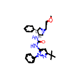 COCCN1C[C@H](NC(=O)Nc2cc(C(C)(C)C)nn2-c2ccccc2)[C@@H](c2ccccc2)C1